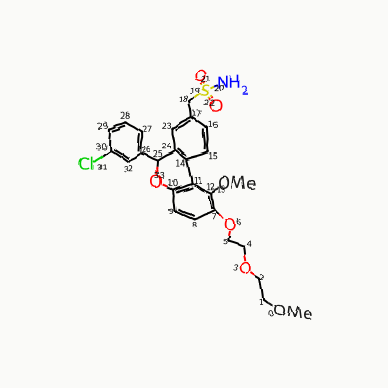 COCCOCCOc1ccc2c(c1OC)-c1ccc(CS(N)(=O)=O)cc1C(c1cccc(Cl)c1)O2